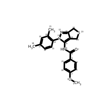 COc1ccc(C(=O)Nc2c3c(nn2-c2ccc(C)cc2C)CSC3)cc1